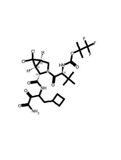 CC(C)(C)[C@H](NC(=O)OC(C)(C)C(F)(F)F)C(=O)N1C[C@H]2[C@@H]([C@H]1C(=O)NC(CC1CCC1)C(=O)C(N)=O)C2(Cl)Cl